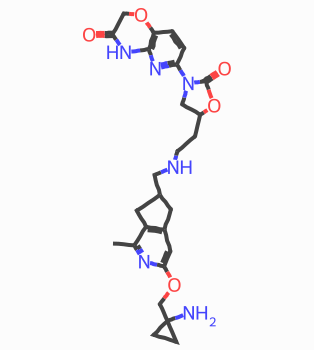 Cc1nc(OCC2(N)CC2)cc2c1CC(CNCCC1CN(c3ccc4c(n3)NC(=O)CO4)C(=O)O1)C2